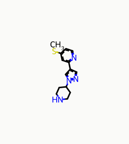 CSc1ccnc(-c2cnn(C3CCNCC3)c2)c1